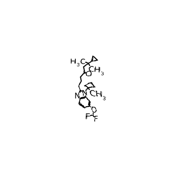 CC(C)(CC(=O)CCCc1nc2ccc(OC(F)F)cc2n1C1(C)CCC1)C1CC1